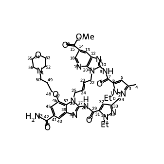 CCn1nc(C)cc1C(=O)Nc1nc2cc(C(=O)OC)cnc2n1C/C=C/Cn1c(NC(=O)c2cc(C)nn2CC)nc2cc(C(N)=O)cc(OCCCN3CCOCC3)c21